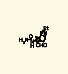 CCN1CC2C(=N1)CCc1c2sc(NC(N)=O)c1C=O